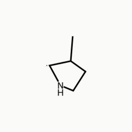 CC1[CH]NCC1